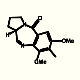 COc1cc2c(c(OC)c1C)N=C[C@@H]1CCCN1C2=O